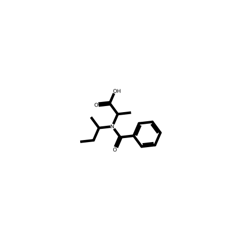 CCC(C)N(C(=O)c1ccccc1)C(C)C(=O)O